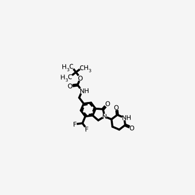 CC(C)(C)OC(=O)NCc1cc2c(c(C(F)F)c1)CN(C1CCC(=O)NC1=O)C2=O